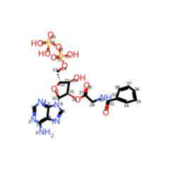 Nc1ncnc2c1ncn2[C@@H]1O[C@H](COP(=O)(O)OP(=O)(O)O)[C@@H](O)[C@H]1OC(=O)CNC(=O)c1ccccc1